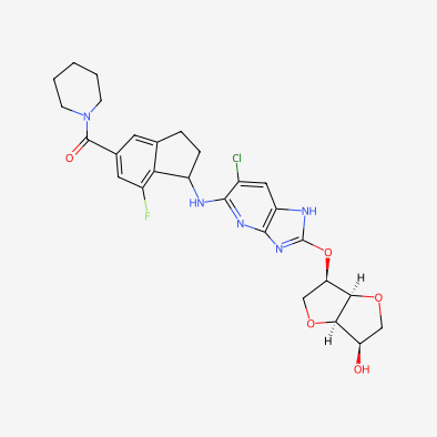 O=C(c1cc(F)c2c(c1)CCC2Nc1nc2nc(O[C@@H]3CO[C@H]4[C@@H]3OC[C@H]4O)[nH]c2cc1Cl)N1CCCCC1